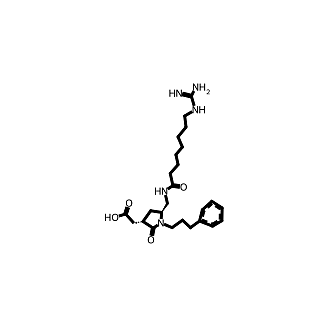 N=C(N)NCCCCCCCC(=O)NC[C@@H]1C[C@@H](CC(=O)O)C(=O)N1CCCc1ccccc1